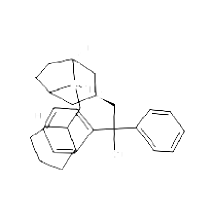 C[N+]1(CC2CCCCC2)[C@@H]2CC[C@H]1C[C@@H](CC(C#N)(c1ccccc1)c1ccccc1)C2